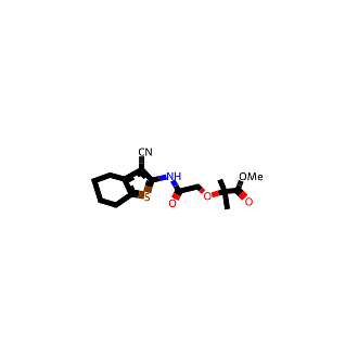 COC(=O)C(C)(C)OCC(=O)Nc1sc2c(c1C#N)CCCC2